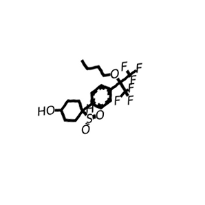 CCCCOC(c1ccc(C2([SH](=O)=O)CCC(O)CC2)cc1)(C(F)(F)F)C(F)(F)F